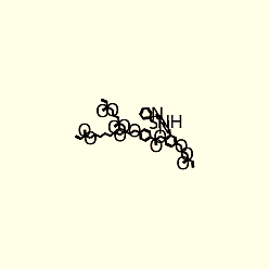 C=CC(=O)OCCCCCOC(COc1ccc(C(=O)Oc2ccc(OCOC(=O)C=C)cc2/C=N/Nc2nc3ccccc3s2)cc1)OC(=O)CCOC(=O)C=C